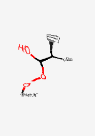 CCCCCCOOC(O)C(CC)CCCC